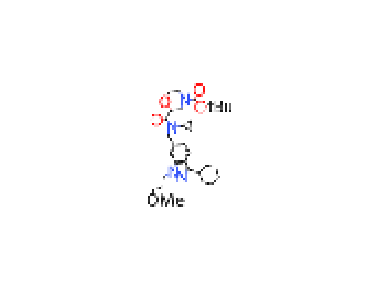 COCCCn1nc(C2CCCCC2)c2ccc(CN(C(=O)C3CN(C(=O)OC(C)(C)C)CCO3)C3CC3)cc21